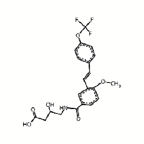 COc1ccc(C(=O)NCC(O)CC(=O)O)cc1C=Cc1ccc(OC(F)(F)F)cc1